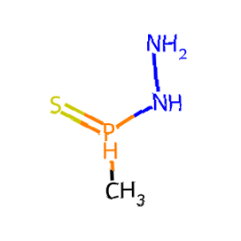 C[PH](=S)NN